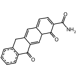 NC(=O)C1=CC=C2C=C3Cc4ccccc4C(=O)C3=CC2C1=O